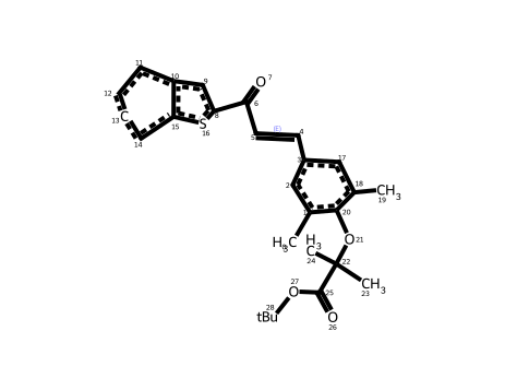 Cc1cc(/C=C/C(=O)c2cc3ccccc3s2)cc(C)c1OC(C)(C)C(=O)OC(C)(C)C